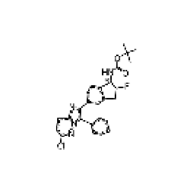 CC(C)(C)OC(=O)N[C@@H]1c2ccc(-c3nc4ccc(Cl)nn4c3-c3ccccc3)cc2CC1F